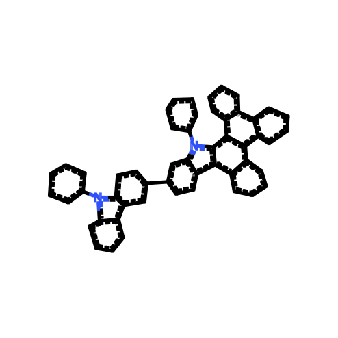 c1ccc(-n2c3ccccc3c3cc(-c4ccc5c6c7ccccc7c7c8ccccc8c8ccccc8c7c6n(-c6ccccc6)c5c4)ccc32)cc1